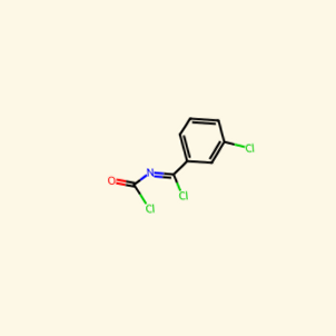 O=C(Cl)N=C(Cl)c1cccc(Cl)c1